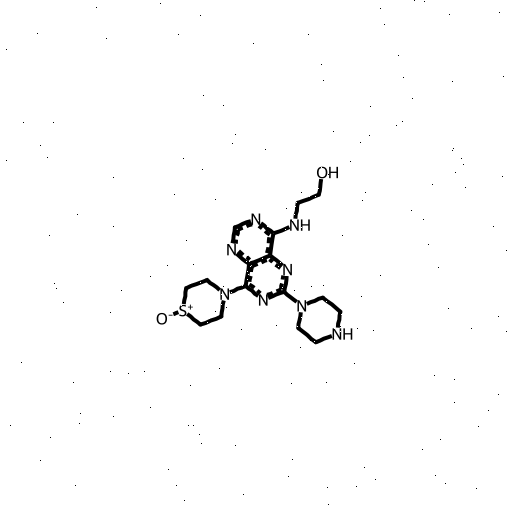 [O-][S+]1CCN(c2nc(N3CCNCC3)nc3c(NCCO)ncnc23)CC1